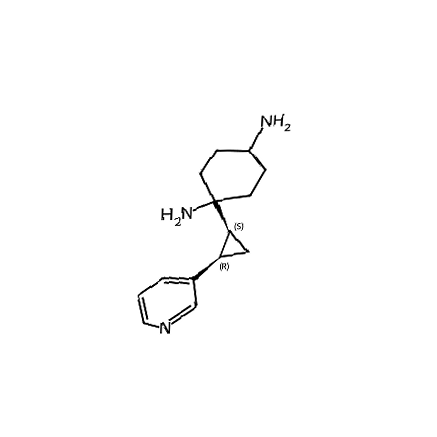 NC1CCC(N)([C@H]2C[C@H]2c2cccnc2)CC1